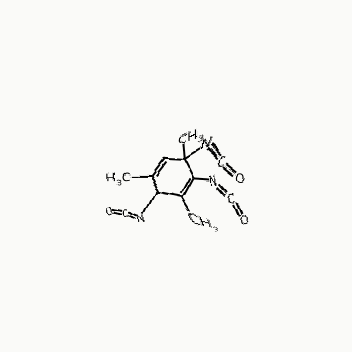 CC1=CC(C)(N=C=O)C(N=C=O)=C(C)C1N=C=O